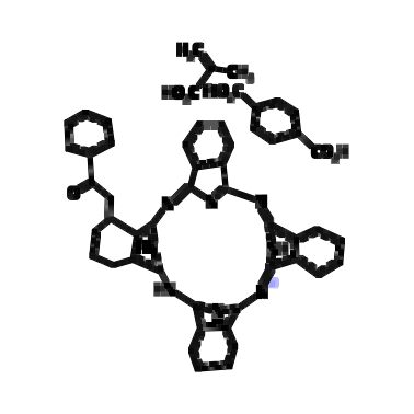 C=C(C)C(=O)O.CCOC(=O)c1ccc(C(=O)O)cc1.O=C(C=C1C=CCc2c3[nH]c(c21)N=C1N=C(N=c2[nH]/c(c4ccccc24)=N\c2[nH]c(c4ccccc24)N3)c2ccccc21)c1ccccc1